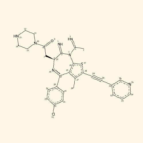 CC(=N)N1C(=N)[C@H](CC(=O)N2CCNCC2)N=C(c2ccc(Cl)cc2)c2c1sc(C#Cc1cccnc1)c2C